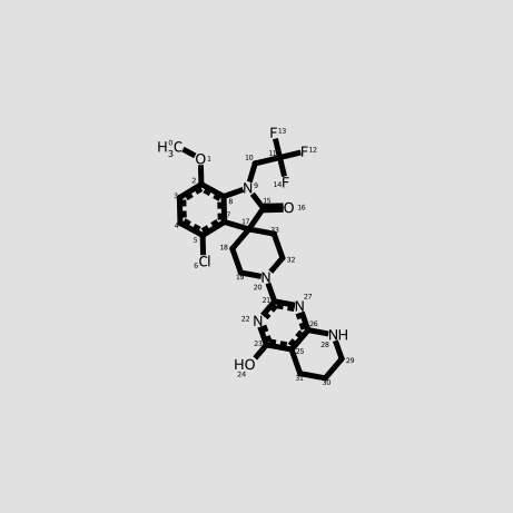 COc1ccc(Cl)c2c1N(CC(F)(F)F)C(=O)C21CCN(c2nc(O)c3c(n2)NCCC3)CC1